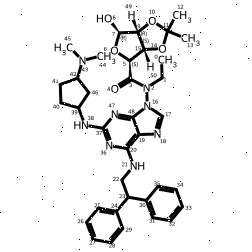 CCN(C(=O)[C@H]1O[C@@H](O)[C@@H]2OC(C)(C)O[C@@H]21)n1cnc2c(NCC(c3ccccc3)c3ccccc3)nc(NC3CCC(N(C)C)C3)nc21